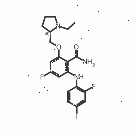 CCN1CCC[C@@H]1COc1cc(F)cc(Nc2ccc(I)cc2F)c1C(N)=O